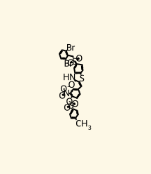 Cc1ccc(S(=O)(=O)Oc2ccc(/C=C3/Sc4ccc(S(=O)(=O)Cc5c(Br)cccc5Br)cc4NC3=O)cc2[N+](=O)[O-])cc1